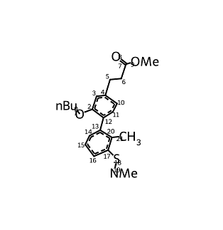 CCCCOc1cc(CCC(=O)OC)ccc1-c1cccc(SNC)c1C